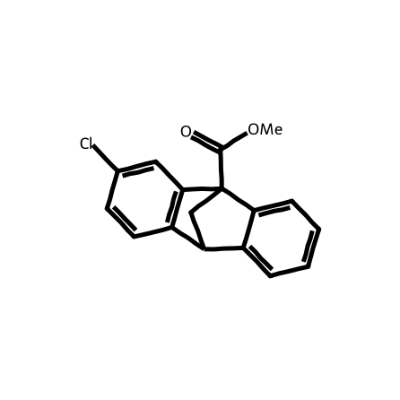 COC(=O)C12CC(c3ccccc31)c1ccc(Cl)cc12